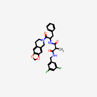 CC(C(=O)NCc1cc(F)cc(F)c1)C(=O)NC(Cc1ccccc1)C(=O)N1CCc2cc3c(cc2C1)OCO3